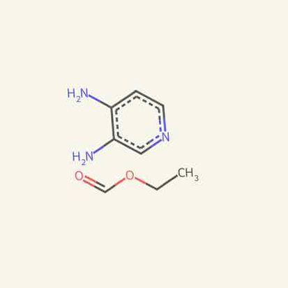 CCOC=O.Nc1ccncc1N